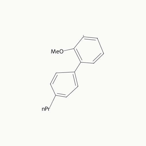 CCCc1ccc(-c2ccc[c]c2OC)cc1